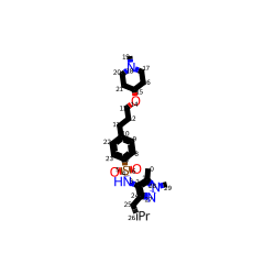 Cc1c(NS(=O)(=O)c2ccc(CCCOC3CCN(C)CC3)cc2)c(CC(C)C)nn1C